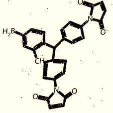 Bc1ccc(C(c2ccc(N3C(=O)C=CC3=O)cc2)c2ccc(N3C(=O)C=CC3=O)cc2)c(C)c1